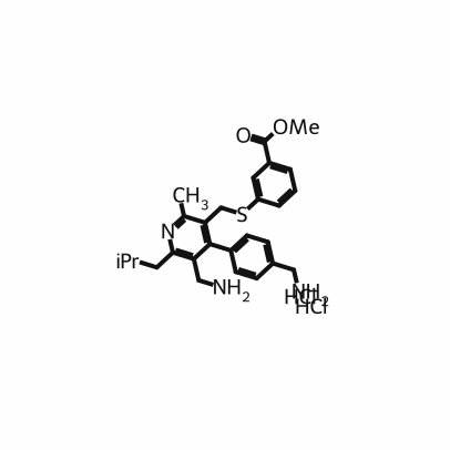 COC(=O)c1cccc(SCc2c(C)nc(CC(C)C)c(CN)c2-c2ccc(CN)cc2)c1.Cl.Cl